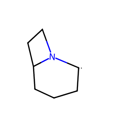 [CH]1CCCC2CCN12